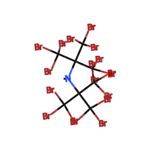 BrC(Br)(Br)C([N]C(C(Br)(Br)Br)(C(Br)(Br)Br)C(Br)(Br)Br)(C(Br)(Br)Br)C(Br)(Br)Br